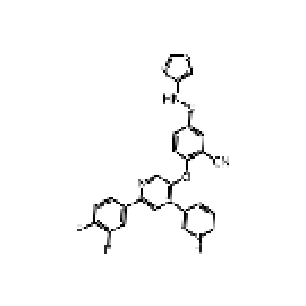 N#Cc1cc(SNc2cscn2)ccc1Oc1cnc(-c2ccc(F)c(F)c2)cc1C1=CNCC=C1